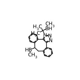 CBC1Cc2ccccc2-c2nnn(C(C)(C)BC)c2-c2ccccc21